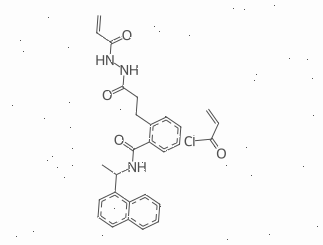 C=CC(=O)Cl.C=CC(=O)NNC(=O)CCc1ccccc1C(=O)NC(C)c1cccc2ccccc12